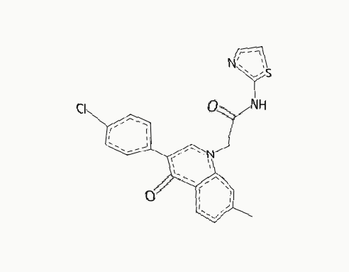 Cc1ccc2c(=O)c(-c3ccc(Cl)cc3)cn(CC(=O)Nc3nccs3)c2c1